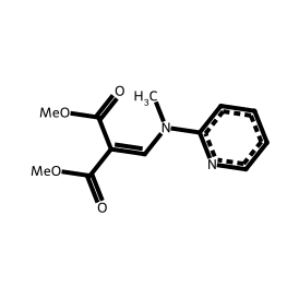 COC(=O)C(=CN(C)c1ccccn1)C(=O)OC